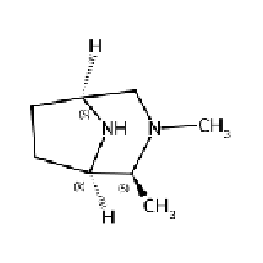 C[C@H]1[C@H]2CC[C@@H](CN1C)N2